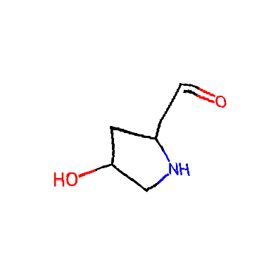 O=CC1CC(O)CN1